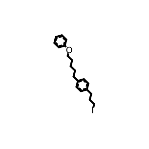 ICCCc1ccc(CCCCCOc2ccccc2)cc1